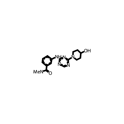 CNC(=O)c1cccc(Nc2ncnc(N3CCC(O)CC3)n2)c1